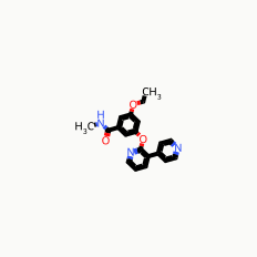 CCOc1cc(Oc2ncccc2-c2ccncc2)cc(C(=O)NC)c1